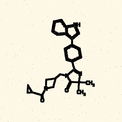 CC1(C)N=C(c2ccc(-c3c[nH]c4ccccc34)cc2)N(CC2CN(C(=O)C3CC3)C2)C1=O